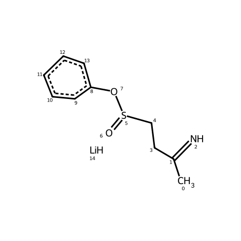 CC(=N)CCS(=O)Oc1ccccc1.[LiH]